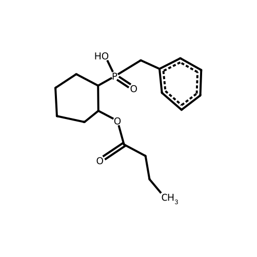 CCCC(=O)OC1CCCCC1P(=O)(O)Cc1ccccc1